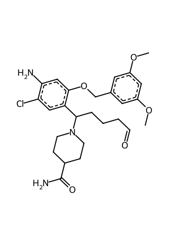 COc1cc(COc2cc(N)c(Cl)cc2C(CCCC=O)N2CCC(C(N)=O)CC2)cc(OC)c1